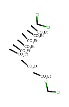 CCOC(C)=O.CCOC(C)=O.CCOC(C)=O.CCOC(C)=O.CCOC(C)=O.CCOC(C)=O.CCOC(C)=O.CCOC(C)=O.ClCCl.ClCCl